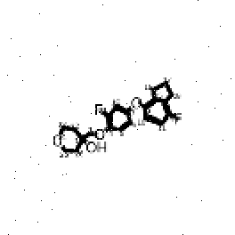 OC1(COc2ccc(Oc3ccc(F)c4c3CCC4)cc2F)CCOCC1